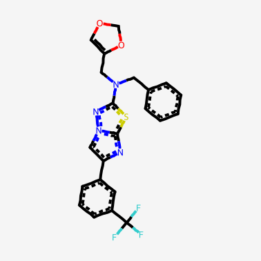 FC(F)(F)c1cccc(-c2cn3nc(N(CC4=COCO4)Cc4ccccc4)sc3n2)c1